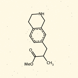 COC(=O)C(C)Cc1ccc2c(c1)CNCC2